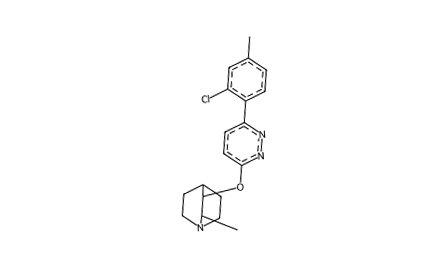 Cc1ccc(-c2ccc(OC3C4CCN(CC4)C3C)nn2)c(Cl)c1